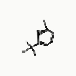 Cc1cccc(C(C)(C)F)n1